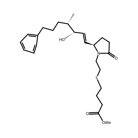 COC(=O)CCCSCCN1C(=O)CC[C@@H]1C=C[C@H](O)[C@@H](C)CCCc1ccccc1